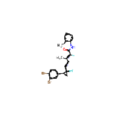 CC(/C=C/C1(F)CC1c1ccc(Br)c(Br)c1)=C(/F)C(=O)Nc1ccccc1C